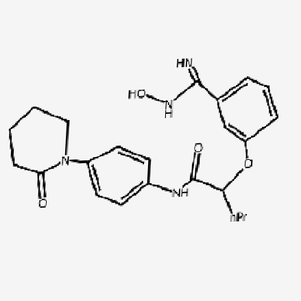 CCCC(Oc1cccc(C(=N)NO)c1)C(=O)Nc1ccc(N2CCCCC2=O)cc1